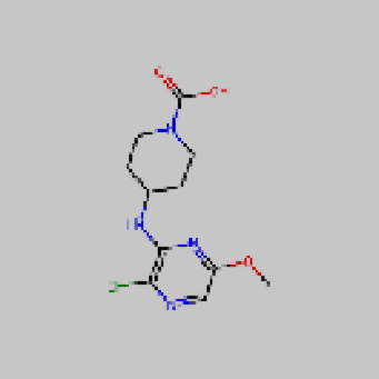 COc1cnc(Cl)c(NC2CCN(C(=O)O)CC2)n1